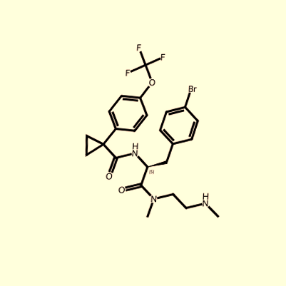 CNCCN(C)C(=O)[C@H](Cc1ccc(Br)cc1)NC(=O)C1(c2ccc(OC(F)(F)F)cc2)CC1